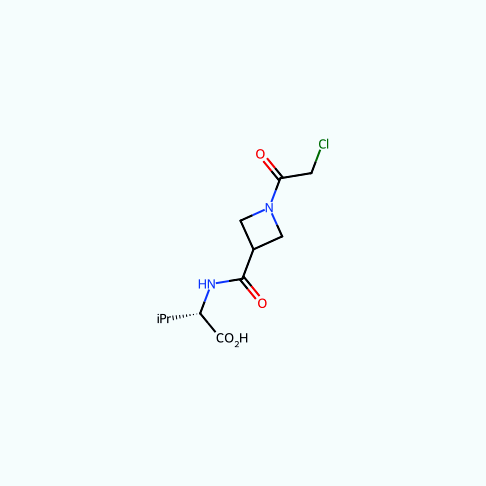 CC(C)[C@H](NC(=O)C1CN(C(=O)CCl)C1)C(=O)O